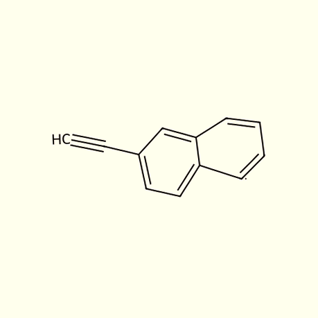 C#Cc1ccc2[c]cccc2c1